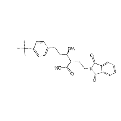 CC(C)(C)c1ccc(CC[C@@H](O)[C@H](CCN2C(=O)c3ccccc3C2=O)C(=O)O)cc1